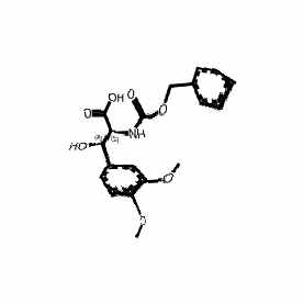 COc1ccc([C@@H](O)[C@H](NC(=O)OCc2ccccc2)C(=O)O)cc1OC